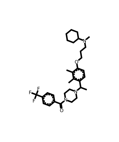 Cc1c(OCCCN(C)C2CCCCC2)ccc(C(C)N2CCN(C(=O)c3ccc(C(F)(F)F)cc3)CC2)c1C